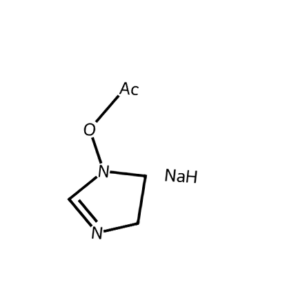 CC(=O)ON1C=NCC1.[NaH]